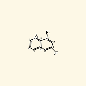 Fc1cc(F)c2ncccc2c1